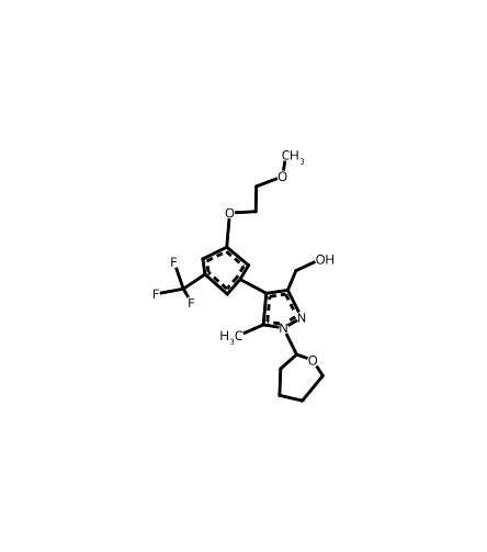 COCCOc1cc(-c2c(CO)nn(C3CCCCO3)c2C)cc(C(F)(F)F)c1